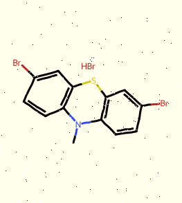 Br.CN1c2ccc(Br)cc2Sc2cc(Br)ccc21